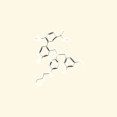 COc1ccc(C(C)OC)cc1-c1ccc(C(F)(F)F)cc1CN(Cc1cc(C(F)(F)F)cc(C(F)(F)F)c1)c1ncc(OCCCC(=O)O)cn1